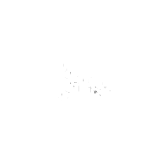 COC(=O)c1ncn2c1COC(c1c(F)ccc(N(Cc3ccc(OC)cc3)Cc3ccc(OC)cc3)c1F)C2